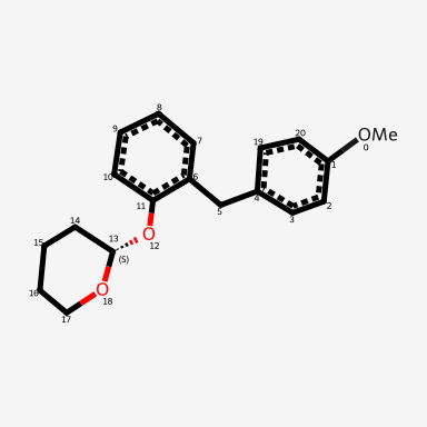 COc1ccc(Cc2ccccc2O[C@H]2CCCCO2)cc1